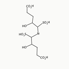 O=C(O)CCC(O)C([N]C(C(O)CCC(=O)O)S(=O)(=O)O)S(=O)(=O)O